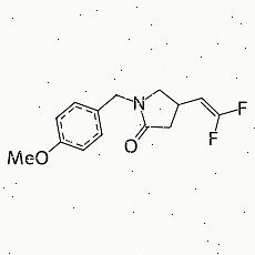 COc1ccc(CN2CC(C=C(F)F)CC2=O)cc1